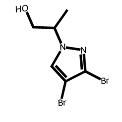 CC(CO)n1cc(Br)c(Br)n1